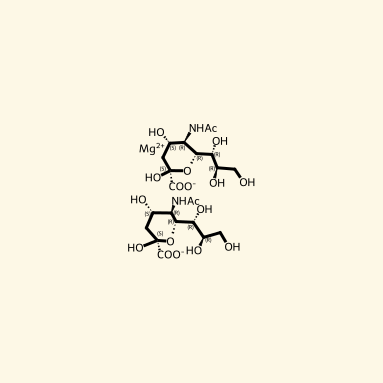 CC(=O)N[C@H]1[C@H]([C@H](O)[C@H](O)CO)O[C@](O)(C(=O)[O-])C[C@@H]1O.CC(=O)N[C@H]1[C@H]([C@H](O)[C@H](O)CO)O[C@](O)(C(=O)[O-])C[C@@H]1O.[Mg+2]